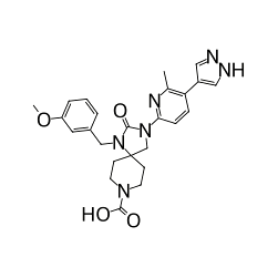 COc1cccc(CN2C(=O)N(c3ccc(-c4cn[nH]c4)c(C)n3)CC23CCN(C(=O)O)CC3)c1